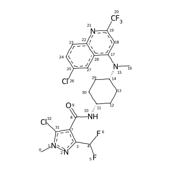 Cn1nc(C(F)F)c(C(=O)N[C@H]2CC[C@@H](N(C)c3cc(C(F)(F)F)nc4ccc(Cl)cc34)CC2)c1Cl